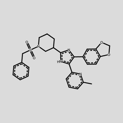 Cc1cccc(-c2[nH]c(C3CCCN(S(=O)(=O)Cc4ccccc4)C3)nc2-c2ccc3c(c2)OCO3)n1